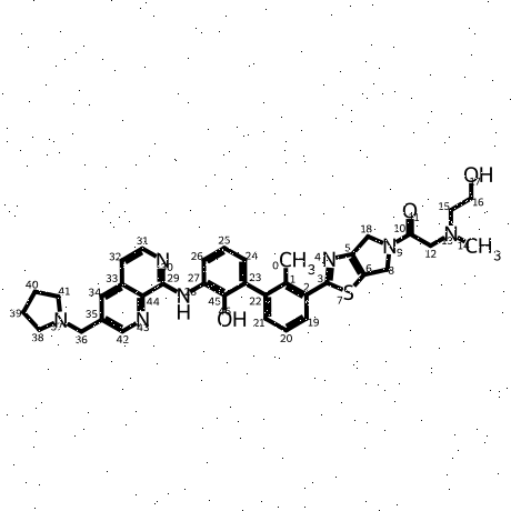 Cc1c(-c2nc3c(s2)CN(C(=O)CN(C)CCO)C3)cccc1-c1cccc(Nc2nccc3cc(CN4CCCC4)cnc23)c1O